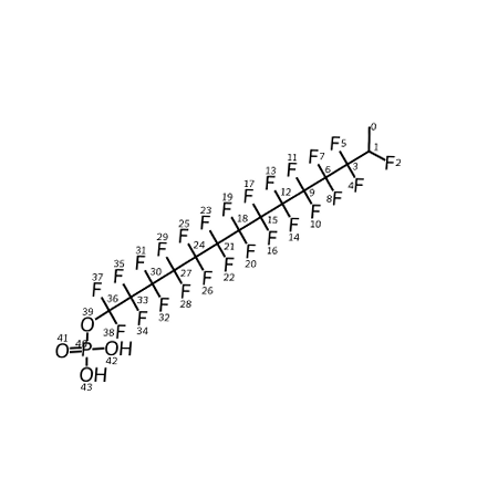 CC(F)C(F)(F)C(F)(F)C(F)(F)C(F)(F)C(F)(F)C(F)(F)C(F)(F)C(F)(F)C(F)(F)C(F)(F)C(F)(F)C(F)(F)OP(=O)(O)O